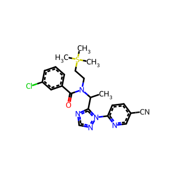 CC(c1ncnn1-c1ccc(C#N)cn1)N(CCS(C)(C)C)C(=O)c1cccc(Cl)c1